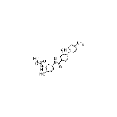 CS(=O)(=O)Nc1cc(NC(=O)c2ccc(-c3ccc(C(F)(F)F)cc3)c(O)c2)ccc1O